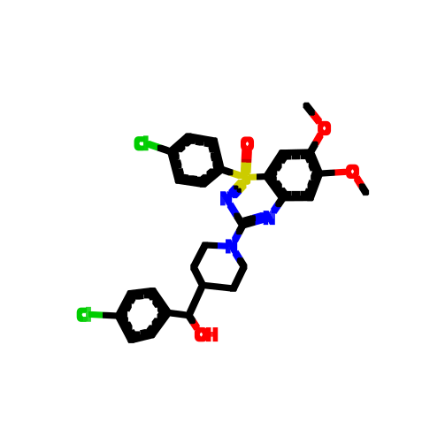 COc1cc2c(cc1OC)S(=O)(c1ccc(Cl)cc1)=NC(N1CCC(C(O)c3ccc(Cl)cc3)CC1)=N2